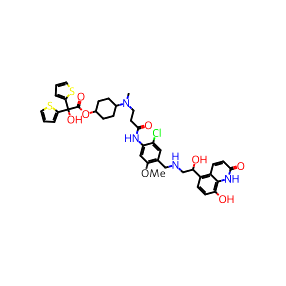 COc1cc(NC(=O)CCN(C)C2CCC(OC(=O)C(O)(c3cccs3)c3cccs3)CC2)c(Cl)cc1CNCC(O)c1ccc(O)c2[nH]c(=O)ccc12